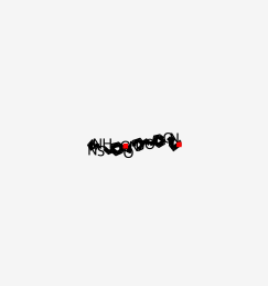 O=C(Oc1ccc(CCSc2ncc[nH]2)cc1)N1CCC(COc2ccc(Oc3ccccn3)cc2)CC1